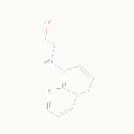 OCCNC1=C2C=CC=CC2CC=C1